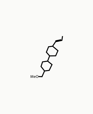 CC=CC1CCC(C2CCC(COC)CC2)CC1